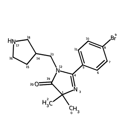 CC1(C)N=C(c2ccc(Br)cc2)N(CC2CCNC2)C1=O